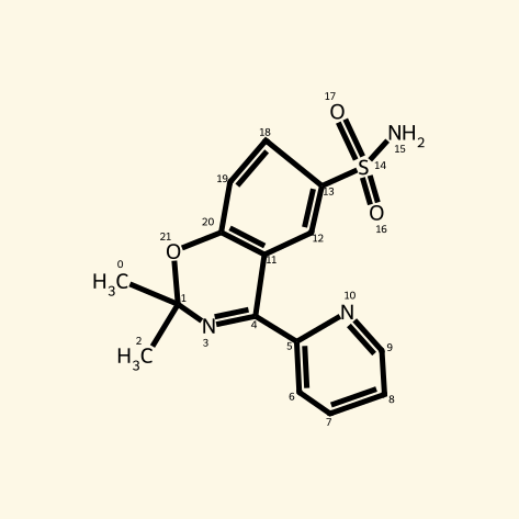 CC1(C)N=C(c2ccccn2)c2cc(S(N)(=O)=O)ccc2O1